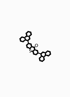 O=c1c2cc(-c3cc4ccccc4c4ccccc34)ccc2sc2ccc(-c3cc4ccccc4c4ccccc34)cc12